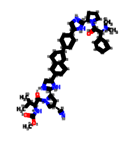 COC(=O)NC(C(=O)N1C[C@@H](C#N)C[C@H]1c1ncc(-c2ccc3cc(-c4ccc(-c5cnc([C@@H]6CCCN6C(=O)[C@@H](c6ccccc6)N(C)C)[nH]5)cc4)ccc3c2)[nH]1)C(C)C